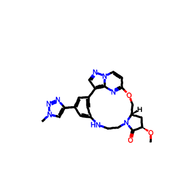 CO[C@@H]1C[C@H]2COc3ccn4ncc(c4n3)-c3cc(cc(-c4cn(C)nn4)c3)NCCN2C1=O